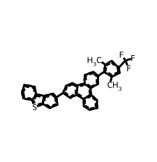 Cc1cc(C(F)(F)F)cc(C)c1-c1ccc2c3ccc(-c4ccc5sc6ccccc6c5c4)cc3c3ccccc3c2c1